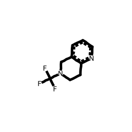 FC(F)(F)N1CCc2ncccc2C1